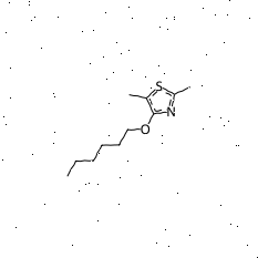 CCCCCCOc1nc(C)sc1C